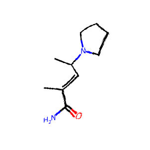 C/C(=C\C(C)N1CCCC1)C(N)=O